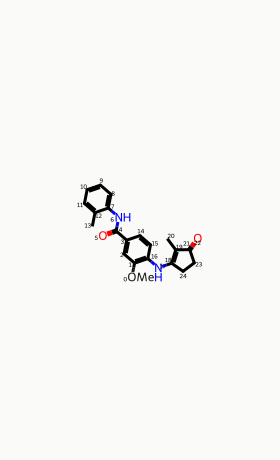 COc1cc(C(=O)Nc2ccccc2C)ccc1NC1=C(C)C(=O)CC1